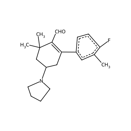 Cc1cc(C2=C(C=O)C(C)(C)CC(N3CCCC3)C2)ccc1F